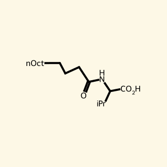 CCCCCCCCCCCC(=O)NC(C(=O)O)C(C)C